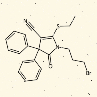 CCSC1=C(C#N)C(c2ccccc2)(c2ccccc2)C(=O)N1CCCBr